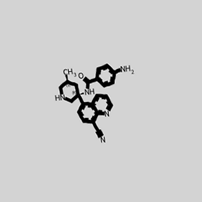 C[C@@H]1CNC[C@](NC(=O)c2ccc(N)cc2)(c2ccc(C#N)c3ncccc23)C1